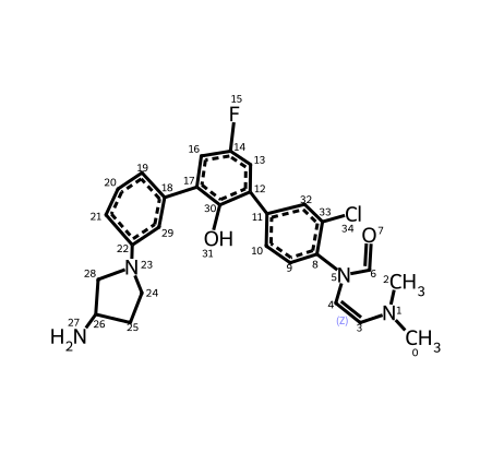 CN(C)/C=C\N(C=O)c1ccc(-c2cc(F)cc(-c3cccc(N4CCC(N)C4)c3)c2O)cc1Cl